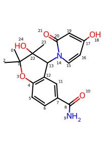 CC1(C)Oc2ccc(C(N)=O)cc2C(n2ccc(O)cc2=O)C1(C)O